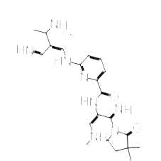 CN/C=C(/NC(=O)c1cccc(N/C=C(\C=N)C(C)N)n1)C(=N)N1CCC(C)(C)C1=O